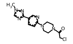 Cn1cnc(-c2ccc(N3CCN(C(=O)CCl)CC3)nc2)n1